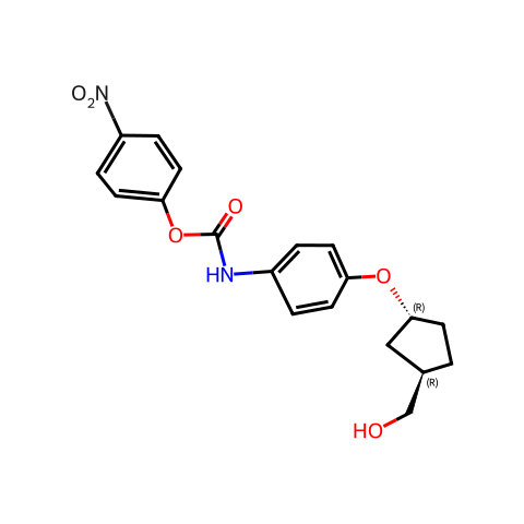 O=C(Nc1ccc(O[C@@H]2CC[C@@H](CO)C2)cc1)Oc1ccc([N+](=O)[O-])cc1